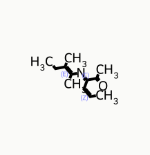 C\C=C/C(=N\C(C)=C(/C)CC)C(C)=O